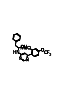 COc1cc(OC(F)(F)F)ccc1-c1cc(NC(O)Cc2ccccc2)ncn1